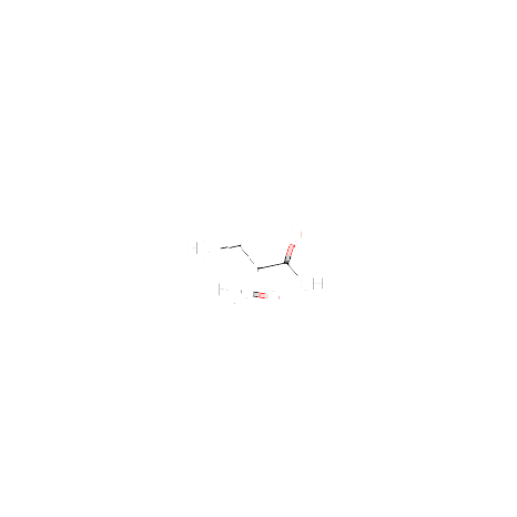 C=O.CCCC(C)=O